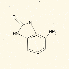 Nc1cccc2c1[N]C(=O)N2